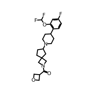 O=C(C1COC1)N1CC2(CCC(N3CCC(c4ccc(F)cc4OC(F)F)CC3)C2)C1